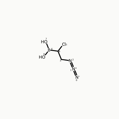 [N-]=[N+]=NCC(Cl)B(O)O